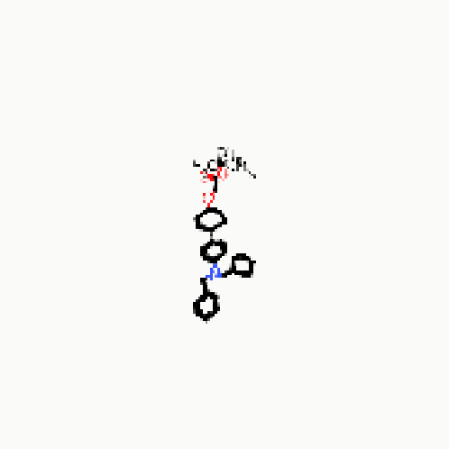 CC(C)(C)OC(=O)CO[C@H]1CC[C@H](c2ccc(N(Cc3ccccc3)Cc3ccccc3)cc2)CC1